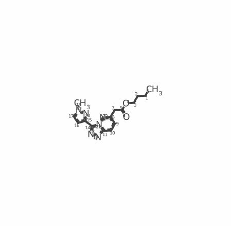 CCCCOC(=O)Cc1ccc2nnc(-c3ccn(C)n3)n2n1